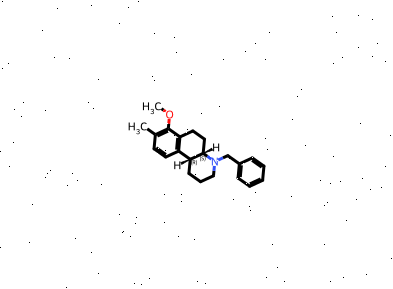 COc1c(C)ccc2c1CC[C@H]1[C@@H]2CCCN1Cc1ccccc1